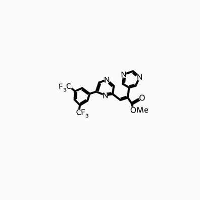 COC(=O)/C(=C/c1cncc(-c2cc(C(F)(F)F)cc(C(F)(F)F)c2)n1)c1cncnc1